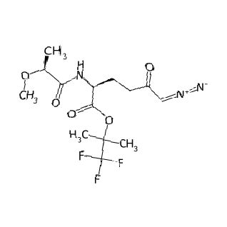 CO[C@@H](C)C(=O)N[C@@H](CCC(=O)C=[N+]=[N-])C(=O)OC(C)(C)C(F)(F)F